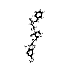 COc1ccc2[nH]c(SCc3nccc(OCCN(C)Cc4ccccc4)c3C)nc2c1